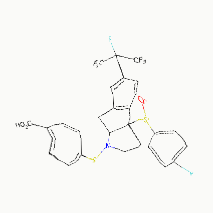 O=C(O)c1ccc(SN2CCC3([S+]([O-])c4ccc(F)cc4)c4ccc(C(F)(C(F)(F)F)C(F)(F)F)cc4CC23)cc1